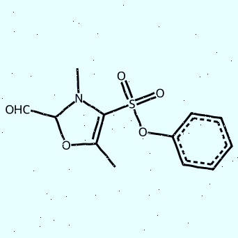 CC1=C(S(=O)(=O)Oc2ccccc2)N(C)C(C=O)O1